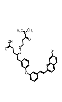 CN(C)C(=O)CCSSC(CCC(=O)O)Cc1cccc(Oc2cccc(C=Cc3ccc4ccc(Br)cc4n3)c2)c1